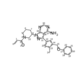 C=CC(=O)N1CCCC(n2nc(-c3cc(COc4ccccc4)c(C)s3)c3c(N)ncnc32)C1